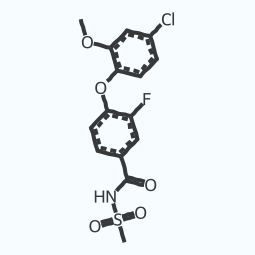 COc1cc(Cl)ccc1Oc1ccc(C(=O)NS(C)(=O)=O)cc1F